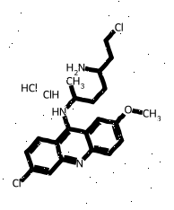 COc1ccc2nc3cc(Cl)ccc3c(NC(C)CCC(N)CCCl)c2c1.Cl.Cl